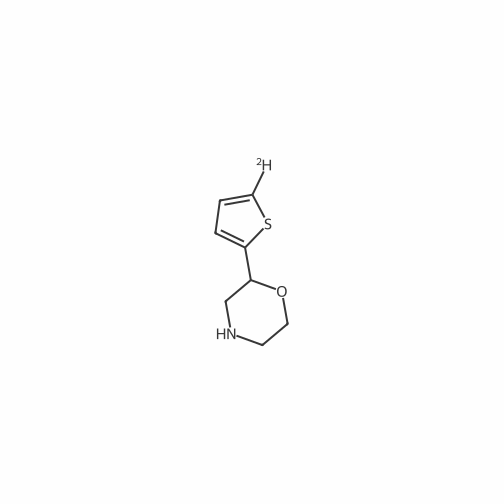 [2H]c1ccc(C2CNCCO2)s1